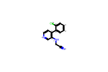 N#CCNc1cnccc1-c1ccccc1Cl